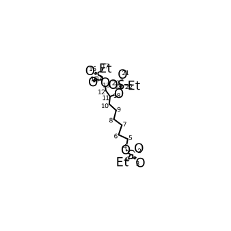 CCS(=O)(=O)OCCCCCCC(COS(=O)(=O)CC)OS(=O)(=O)CC